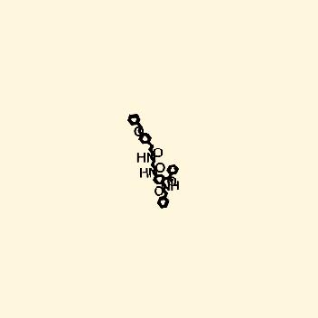 O=C(C=Cc1ccc(OCc2ccccc2)cc1)NCCC(=O)Nc1ccc(NC(=O)Cc2ccccc2)c(C(=O)c2ccccc2)c1